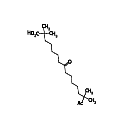 CC(=O)C(C)(C)CCCCCC(=O)CCCCCC(C)(C)C(=O)O